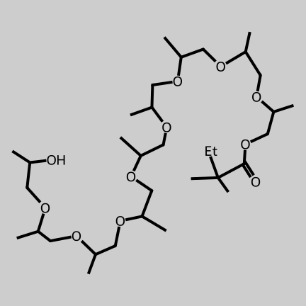 CCC(C)(C)C(=O)OCC(C)OCC(C)OCC(C)OCC(C)OCC(C)OCC(C)OCC(C)OCC(C)OCC(C)O